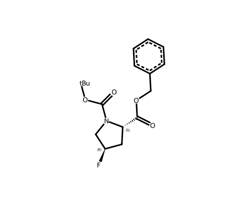 CC(C)(C)OC(=O)N1C[C@H](F)C[C@H]1C(=O)OCc1ccccc1